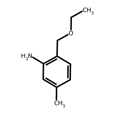 CCOCc1ccc(C)cc1N